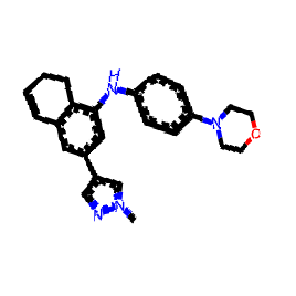 Cn1cc(-c2cc3c(c(Nc4ccc(N5CCOCC5)cc4)c2)CCC=C3)cn1